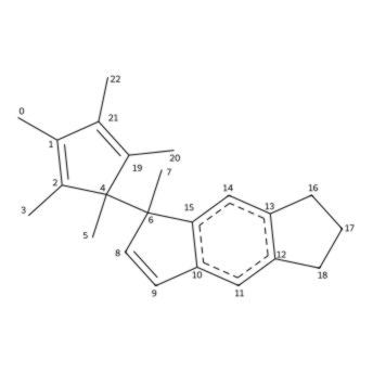 CC1=C(C)C(C)(C2(C)C=Cc3cc4c(cc32)CCC4)C(C)=C1C